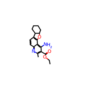 CCOC(=O)c1c(C)nc2ccc3c(c2c1N)OC1CCCCC31